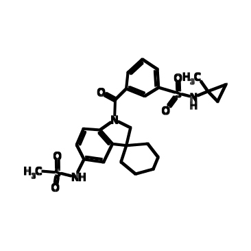 CC1(NS(=O)(=O)c2cccc(C(=O)N3CC4(CCCCC4)c4cc(NS(C)(=O)=O)ccc43)c2)CC1